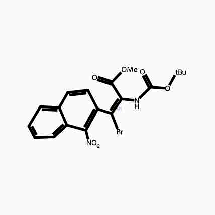 COC(=O)/C(NC(=O)OC(C)(C)C)=C(/Br)c1ccc2ccccc2c1[N+](=O)[O-]